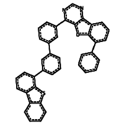 c1ccc(-c2cccc3c2oc2c(-c4cccc(-c5cccc(-c6cccc7c6sc6ccccc67)c5)c4)ncnc23)cc1